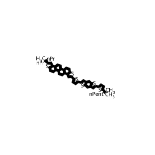 CCCCCC(C)(C)c1ccc(-c2cc3cc4sc(-c5ccc(-c6cc7c(ccc8c7ccc7c9ccc%10sc(C(C)(CCC)CCC)cc%10c9ccc87)s6)s5)cc4cc3s2)s1